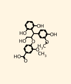 COc1cc(C(c2c(O)cccc2O)C(CO)Oc2ccc(C(=O)O)cc2OC)ccc1O